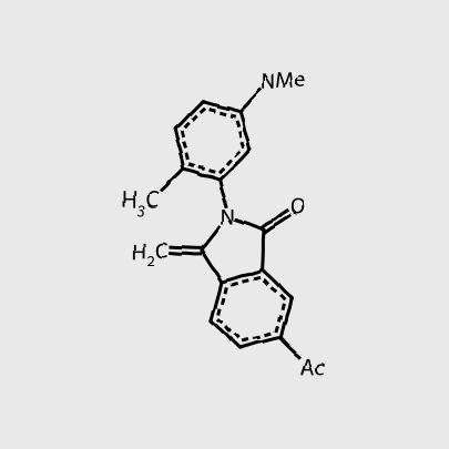 C=C1c2ccc(C(C)=O)cc2C(=O)N1c1cc(NC)ccc1C